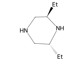 CC[C@@H]1CNC[C@@H](CC)N1